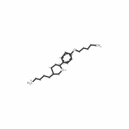 CCCCCOc1ccc(C2CCC(CCCCC)CO2)cc1